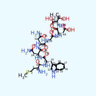 CSCC[C@H](N)C(=O)N[C@@H](Cc1c[nH]c2ccccc12)C(=O)N[C@@H](CC(N)=O)C(=O)N[C@@H](CC(N)=O)C(=O)NCC(=O)N[C@@H](CC(=O)O)C(=O)N[C@H](C(=O)O)[C@@H](C)O